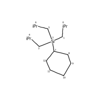 CC(C)C[Si](CC(C)C)(CC(C)C)C1CCCCC1